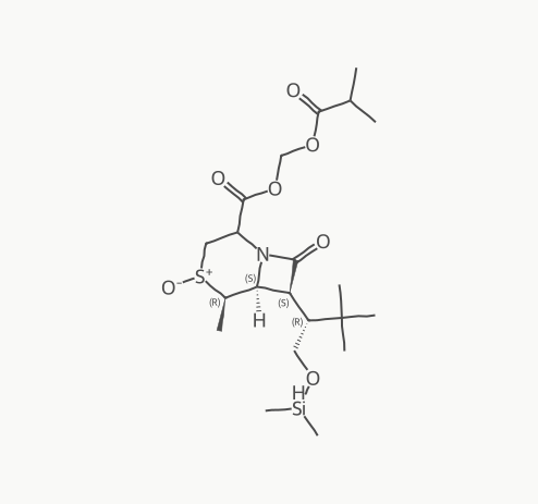 CC(C)C(=O)OCOC(=O)C1C[S+]([O-])[C@H](C)[C@@H]2[C@H]([C@@H](CO[SiH](C)C)C(C)(C)C)C(=O)N12